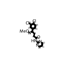 CON=C(CCC(=O)Nc1ncccn1)c1ccc(Cl)c(Cl)c1